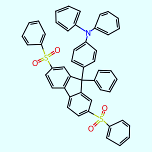 O=S(=O)(c1ccccc1)c1ccc2c(c1)C(c1ccccc1)(c1ccc(N(c3ccccc3)c3ccccc3)cc1)c1cc(S(=O)(=O)c3ccccc3)ccc1-2